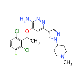 CC(Oc1cc(-c2cnn(C3CCN(C)CC3)c2)nnc1N)c1c(Cl)ccc(F)c1Cl